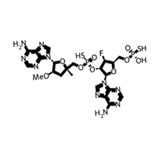 CO[C@@H]1C[C@@](C)(CO[P@](=O)(S)O[C@@H]2[C@@H](F)[C@@H](CO[P@@](=O)(O)S)O[C@H]2n2cnc3c(N)ncnc32)O[C@H]1n1cnc2c(N)ncnc21